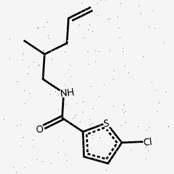 C=CCC(C)CNC(=O)c1ccc(Cl)s1